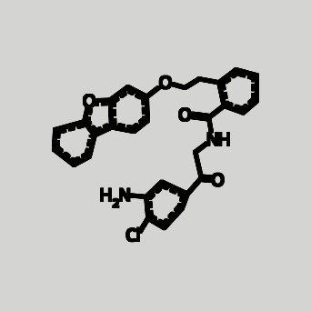 Nc1cc(C(=O)CNC(=O)c2ccccc2CCOc2ccc3c(c2)oc2ccccc23)ccc1Cl